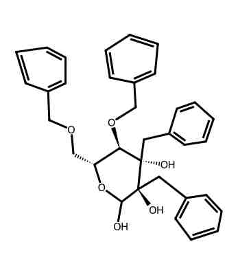 OC1O[C@H](COCc2ccccc2)[C@@H](OCc2ccccc2)[C@@](O)(Cc2ccccc2)[C@]1(O)Cc1ccccc1